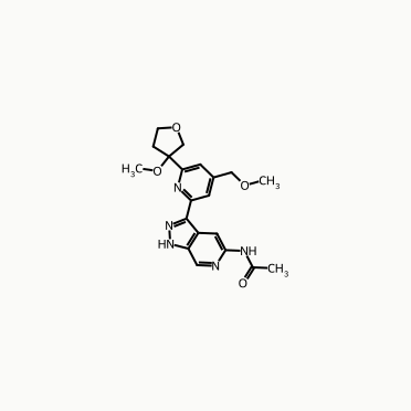 COCc1cc(-c2n[nH]c3cnc(NC(C)=O)cc23)nc(C2(OC)CCOC2)c1